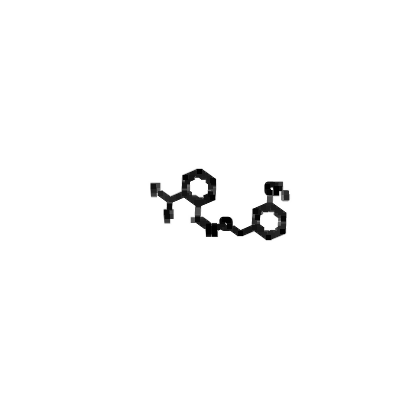 FC(F)c1ccccc1/[C]=N\OCc1cccc(C(F)(F)F)c1